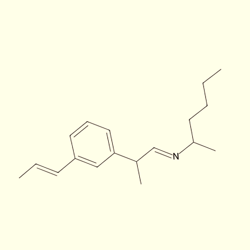 CC=Cc1cccc(C(C)C=NC(C)CCCC)c1